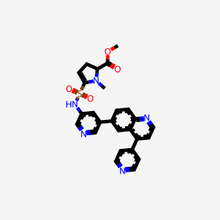 COC(=O)C1CC=C(S(=O)(=O)Nc2cncc(-c3ccc4nccc(-c5ccncc5)c4c3)c2)N1C